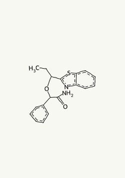 CCC(OC(C(N)=O)c1ccccc1)c1nc2ccccc2s1